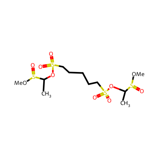 COS(=O)C(C)OS(=O)(=O)CCCCCS(=O)(=O)OC(C)S(=O)OC